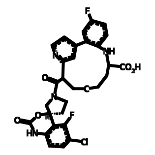 O=C1Nc2ccc(Cl)c(F)c2[C@@]2(CCN(C(=O)C3CCCCC(C(=O)O)Nc4ccc(F)cc4-c4ccnc3c4)C2)O1